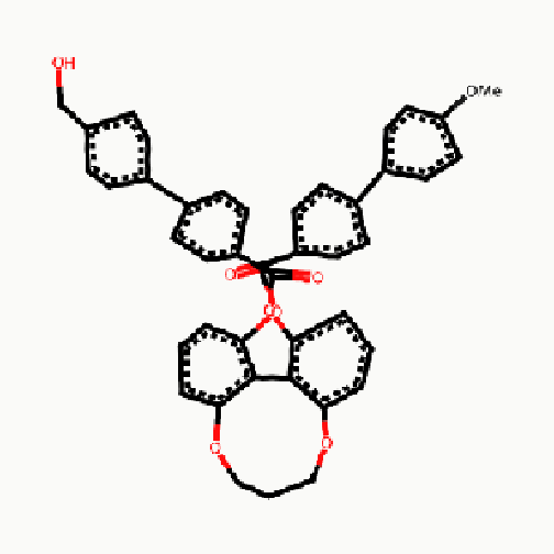 COc1ccc(-c2ccc(C(=O)Oc3cccc4c3-c3c(cccc3OC(=O)c3ccc(-c5ccc(CO)cc5)cc3)OCCCO4)cc2)cc1